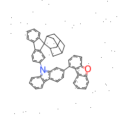 c1ccc2c(c1)-c1ccc(-n3c4ccccc4c4ccc(-c5cccc6oc7ccccc7c56)cc43)cc1C21C2CC3CC(C2)CC1C3